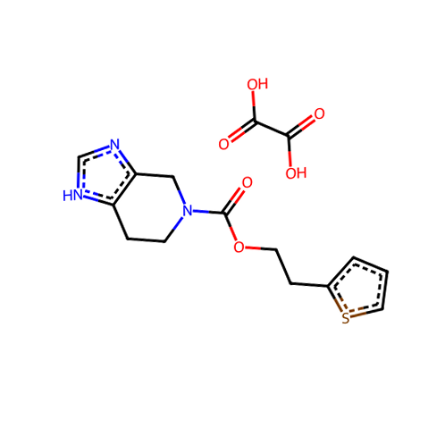 O=C(O)C(=O)O.O=C(OCCc1cccs1)N1CCc2[nH]cnc2C1